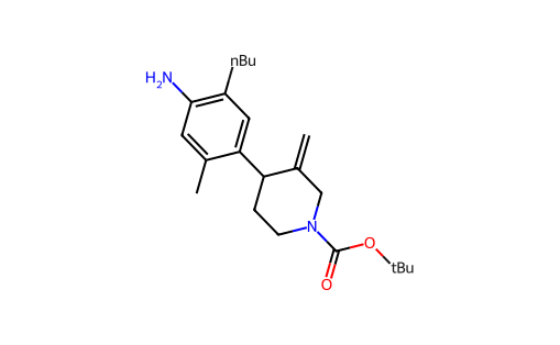 C=C1CN(C(=O)OC(C)(C)C)CCC1c1cc(CCCC)c(N)cc1C